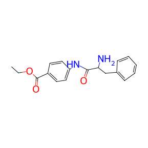 CCOC(=O)c1ccc(NC(=O)C(N)Cc2ccccc2)cc1